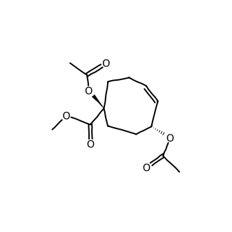 COC(=O)[C@]1(OC(C)=O)CC/C=C\[C@H](OC(C)=O)CC1